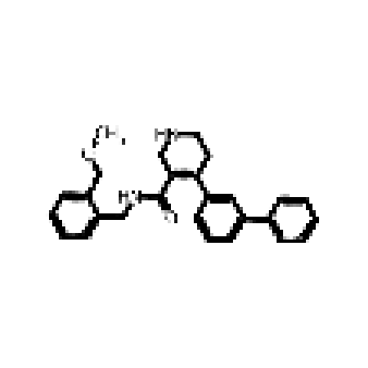 COCc1ccccc1CNC(=O)C1=C(c2cccc(-c3ccccc3)c2)CCNC1